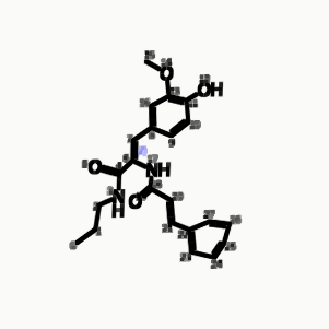 CCCNC(=O)/C(=C/c1ccc(O)c(OC)c1)NC(=O)C=Cc1ccccc1